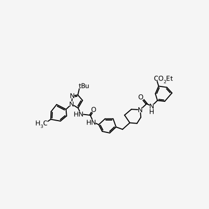 CCOC(=O)c1cccc(NC(=O)N2CCC(Cc3ccc(NC(=O)Nc4cc(C(C)(C)C)nn4-c4ccc(C)cc4)cc3)CC2)c1